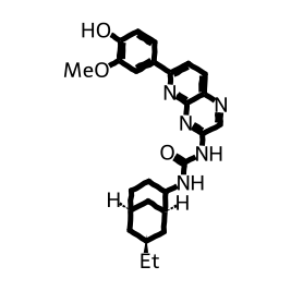 CC[C@H]1C[C@H]2CCC(NC(=O)Nc3cnc4ccc(-c5ccc(O)c(OC)c5)nc4n3)[C@H](C2)C1